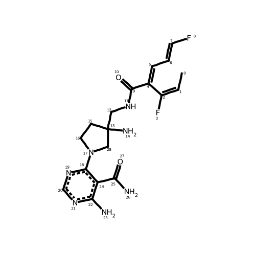 C\C=C(F)/C(=C\C=C\F)C(=O)NCC1(N)CCN(c2ncnc(N)c2C(N)=O)C1